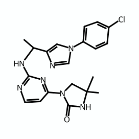 CC(Nc1nccc(N2CC(C)(C)NC2=O)n1)c1cn(-c2ccc(Cl)cc2)cn1